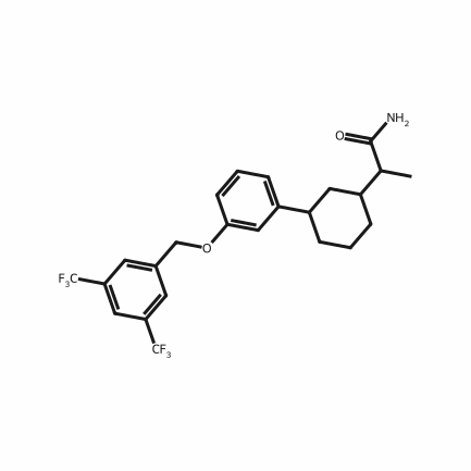 CC(C(N)=O)C1CCCC(c2cccc(OCc3cc(C(F)(F)F)cc(C(F)(F)F)c3)c2)C1